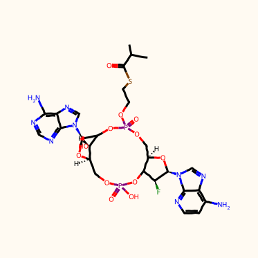 CC(C)C(=O)SCCOP1(=O)OC[C@H]2O[C@@H](n3cnc4c(N)ccnc43)[C@@H](F)C2OP(=O)(O)OC[C@H]2O[C@@H](n3cnc4c(N)ncnc43)C(O1)[C@H]2O